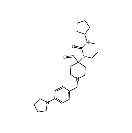 CCN(C(=O)N(C)C1CCCC1)C1(C=O)CCN(Cc2ccc(N3CCCC3)cc2)CC1